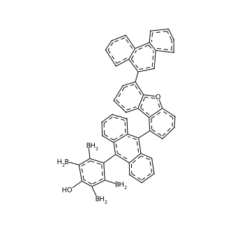 Bc1c(B)c(-c2c3ccccc3c(-c3cccc4oc5c(-c6cc7ccccc7c7ccccc67)cccc5c34)c3ccccc23)c(B)c(B)c1O